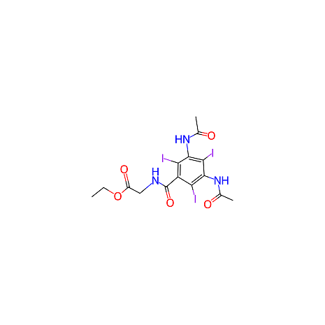 CCOC(=O)CNC(=O)c1c(I)c(NC(C)=O)c(I)c(NC(C)=O)c1I